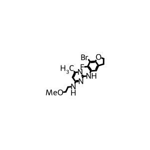 COCCNc1cc(C)nc(Nc2cc3c(c(Br)c2F)OCC3)n1